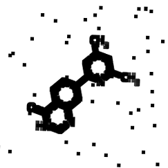 Cc1cc(C)nc(-c2ccc3c(=O)[nH]cnc3c2)c1